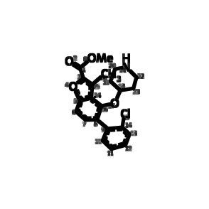 COC(=O)c1oc2ccc(-c3ccccc3Cl)c(OC3CCNCC3)c2c1C